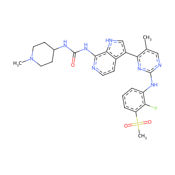 Cc1cnc(Nc2cccc(S(C)(=O)=O)c2F)nc1-c1c[nH]c2c(NC(=O)NC3CCN(C)CC3)nccc12